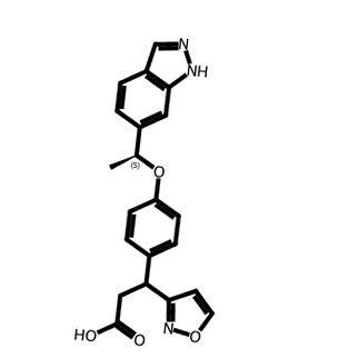 C[C@H](Oc1ccc(C(CC(=O)O)c2ccon2)cc1)c1ccc2cn[nH]c2c1